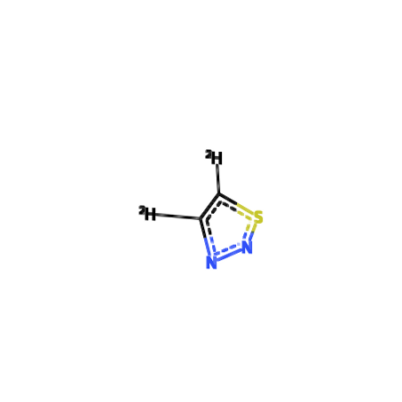 [2H]c1nnsc1[2H]